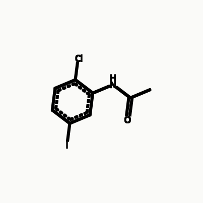 CC(=O)Nc1cc(I)ccc1Cl